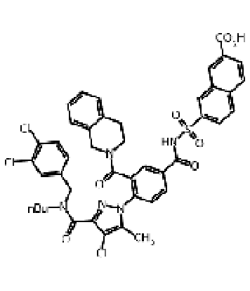 CCCCN(Cc1ccc(Cl)c(Cl)c1)C(=O)c1nn(-c2ccc(C(=O)NS(=O)(=O)c3ccc4ccc(C(=O)O)cc4c3)cc2C(=O)N2CCc3ccccc3C2)c(C)c1Cl